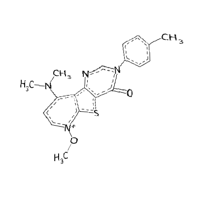 CO[n+]1ccc(N(C)C)c2c3ncn(-c4ccc(C)cc4)c(=O)c3sc21